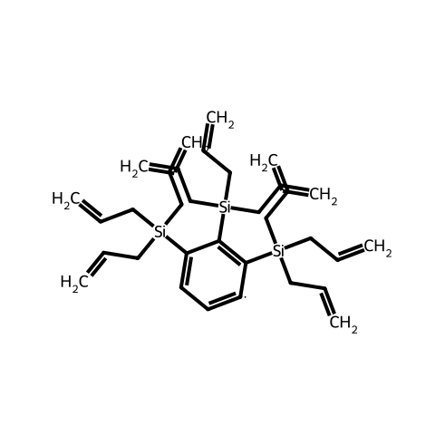 C=CC[Si](CC=C)(CC=C)c1[c]ccc([Si](CC=C)(CC=C)CC=C)c1[Si](CC=C)(CC=C)CC=C